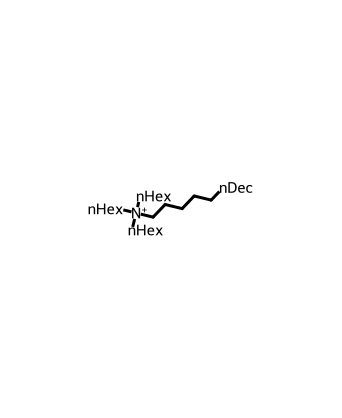 CCCCCCCCCCCCCCC[N+](CCCCCC)(CCCCCC)CCCCCC